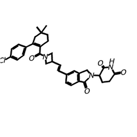 CC1(C)CCC(C(=O)N2CC(C=Cc3ccc4c(c3)CN(C3CCC(=O)NC3=O)C4=O)C2)=C(c2ccc(Cl)cc2)C1